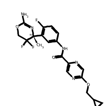 C[C@]1(c2cc(NC(=O)c3cnc(OCC4CC4)cn3)ccc2F)N=C(N)OCC1(F)F